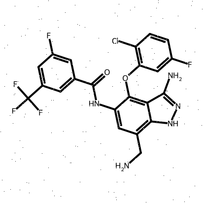 NCc1cc(NC(=O)c2cc(F)cc(C(F)(F)F)c2)c(Oc2cc(F)ccc2Cl)c2c(N)n[nH]c12